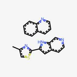 Cc1csc(-c2cc3ccncc3[nH]2)n1.c1ccc2ncccc2c1